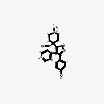 COC1(c2[nH]nc(-c3ccc(Cl)cc3)c2-c2ccncc2)CCN(C)CC1